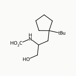 CC(C)(C)C1(CC(CO)NC(=O)O)CCCC1